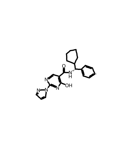 O=C(N[C@@H](c1cc[c]cc1)C1CCCCC1)c1cnc(-n2cccn2)nc1O